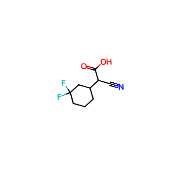 N#CC(C(=O)O)C1CCCC(F)(F)C1